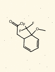 COC1(C(F)(F)F)C=CC=CC1CC(=O)Cl